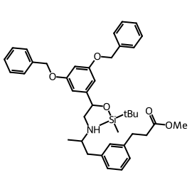 COC(=O)CCc1cccc(CC(C)NCC(O[Si](C)(C)C(C)(C)C)c2cc(OCc3ccccc3)cc(OCc3ccccc3)c2)c1